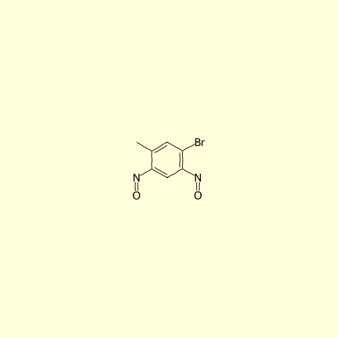 Cc1cc(Br)c(N=O)cc1N=O